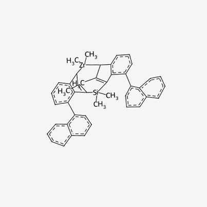 CC1=C2c3c(-c4cccc5ccccc45)cccc3[CH]1[Zr]([CH3])([CH3])[CH]1C(C)=C(c3c(-c4cccc5ccccc45)cccc31)[Si]2(C)C